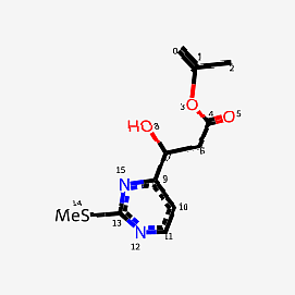 C=C(C)OC(=O)CC(O)c1ccnc(SC)n1